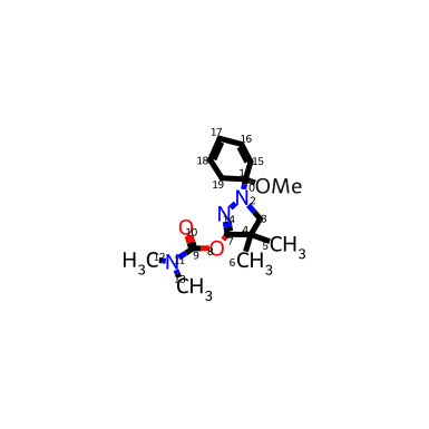 COC1(N2CC(C)(C)C(OC(=O)N(C)C)=N2)C=CC=CC1